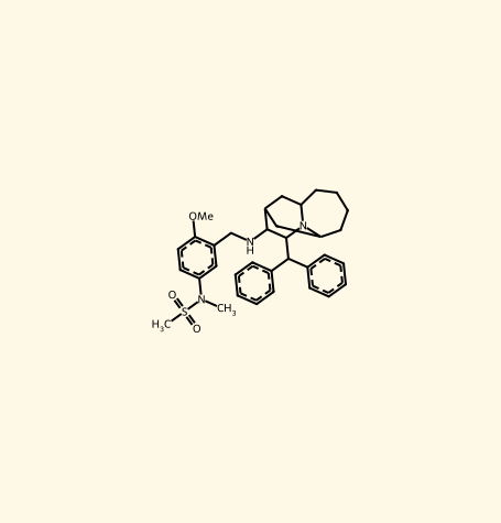 COc1ccc(N(C)S(C)(=O)=O)cc1CNC1C2CC3CCCCC(C2)N3C1C(c1ccccc1)c1ccccc1